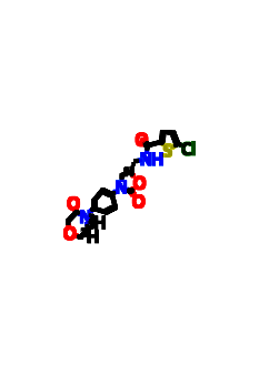 [2H]C1([2H])COCC(=O)N1c1ccc(N2C[C@H](CNC(=O)c3ccc(Cl)s3)OC2=O)cc1